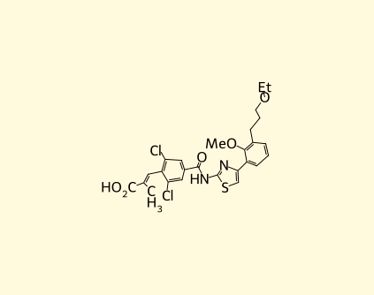 CCOCCCc1cccc(-c2csc(NC(=O)c3cc(Cl)c(C=C(C)C(=O)O)c(Cl)c3)n2)c1OC